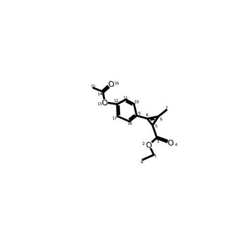 CCOC(=O)C1C(C)=C1c1ccc(OC(C)=O)cc1